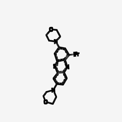 CC(C)c1cc(N2CCOCC2)cc2[s+]c3cc(N4CCOCC4)ccc3nc12